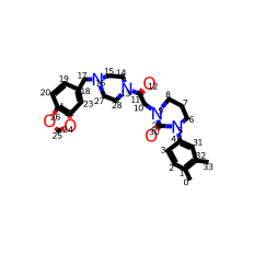 Cc1ccc(N2CCCN(CC(=O)N3CCN(Cc4ccc5c(c4)OCO5)CC3)C2=O)cc1C